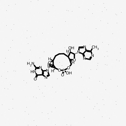 Cc1ncnc2c1ncn2[C@@H]1O[C@@H]2COP(=O)(O)O[C@@H]3[C@H](O)[C@@H](CCC[C@H]2[C@H]1O)O[C@H]3n1cnc2c(=O)[nH]c(N)nc21